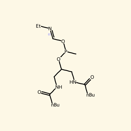 CCCCC(=O)NCC(CNC(=O)CCCC)OP(C)O/C=N/CC